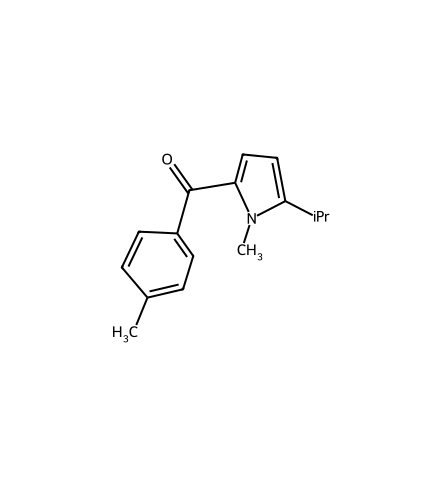 Cc1ccc(C(=O)c2ccc(C(C)C)n2C)cc1